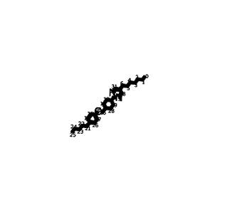 CCCCCCCc1cnc(C2CCC(COc3ccc(CCCCC)cc3)CC2)nc1